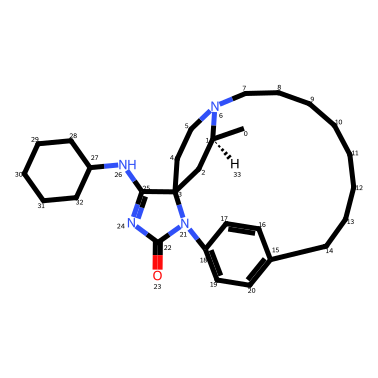 C[C@H]1CC23CCN1CCCCCCCCc1ccc(cc1)N2C(=O)N=C3NC1CCCCC1